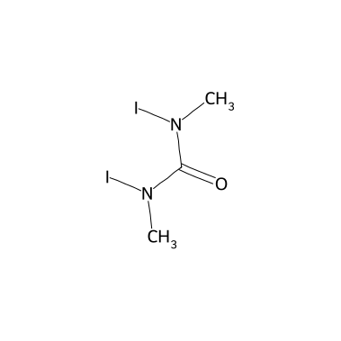 CN(I)C(=O)N(C)I